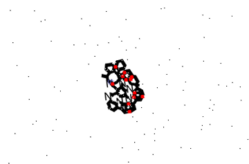 C=C1/C=C\CC2(C3=C(C=CCC3)N2c2c(C#N)c(C#N)c(-n3c4ccccc4c4ccccc43)c(-n3c4ccccc4c4ccccc43)c2N2c3ccccc3C3(C)C=CC=CC23)C(c2ccccc2)(c2ccccc2)c2ccccc21